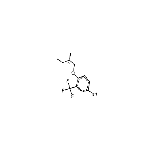 CC[C@@H](C)COc1ccc(Cl)cc1C(F)(F)F